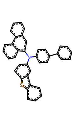 c1ccc(-c2ccc(N(c3ccc4sc5ccccc5c4c3)c3cc4ccccc4c4ccccc34)cc2)cc1